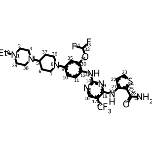 CCN1CCN(C2CCN(c3ccc(Nc4ncc(C(F)(F)F)c(Nc5ccsc5C(N)=O)n4)c(OC(F)F)c3)CC2)CC1